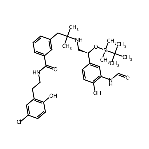 CC(C)(Cc1cccc(C(=O)NCCc2cc(Cl)ccc2O)c1)NC[C@@H](O[Si](C)(C)C(C)(C)C)c1ccc(O)c(NC=O)c1